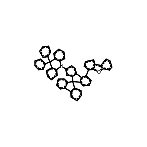 c1ccc(C2(c3ccccc3)c3ccccc3N(c3ccc4c(c3)C3(c5ccccc5-c5ccccc53)c3cccc(-c5cccc6c5oc5ccccc56)c3-4)c3ccccc32)cc1